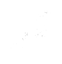 CCOP(=O)(OCC)C(CCNOCc1ccccc1)c1ccc(OC)cc1